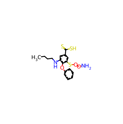 CCCCNc1cc(C(=S)S)cc(SOON)c1Oc1ccccc1